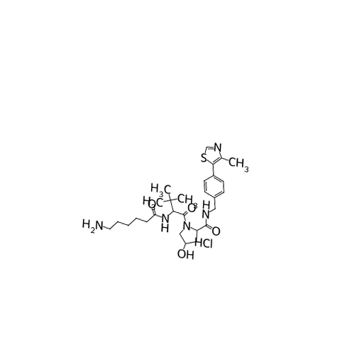 Cc1ncsc1-c1ccc(CNC(=O)C2CC(O)CN2C(=O)C(NC(=O)CCCCCN)C(C)(C)C)cc1.Cl